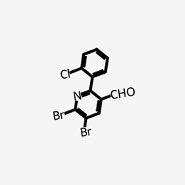 O=Cc1cc(Br)c(Br)nc1-c1ccccc1Cl